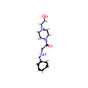 O=C(CNCc1ccccc1)N1CCN(CCO)CC1